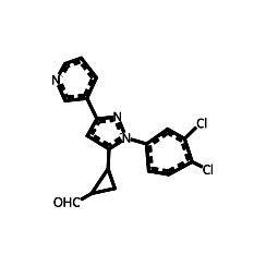 O=CC1CC1c1cc(-c2cccnc2)nn1-c1ccc(Cl)c(Cl)c1